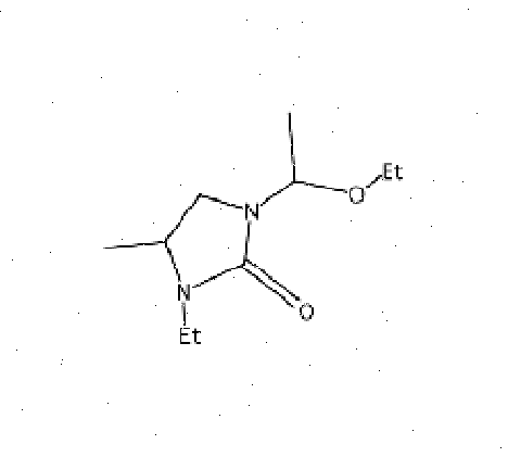 CCOC(C)N1CC(C)N(CC)C1=O